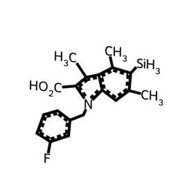 Cc1cc2c(c(C)c1[SiH3])c(C)c(C(=O)O)n2Cc1cccc(F)c1